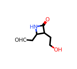 O=CCC1NC(=O)C1CCO